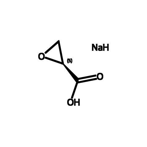 O=C(O)[C@@H]1CO1.[NaH]